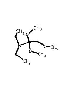 CCN(CC)C([CH]OC)(OC)OC